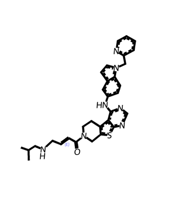 CC(C)CNC/C=C/C(=O)N1CCc2c(sc3ncnc(Nc4ccc5c(ccn5Cc5ccccn5)c4)c23)C1